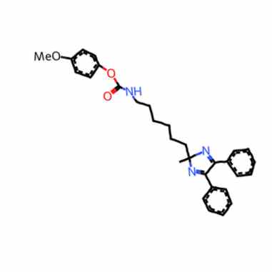 COc1ccc(OC(=O)NCCCCCCC2(C)N=C(c3ccccc3)C(c3ccccc3)=N2)cc1